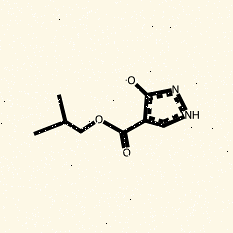 CC(C)COC(=O)c1c[nH]nc1[O]